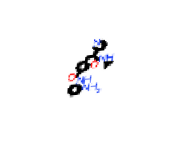 Nc1ccccc1NC(=O)c1ccc(C=C(C(=O)NC2CC2)c2cccnc2)cc1